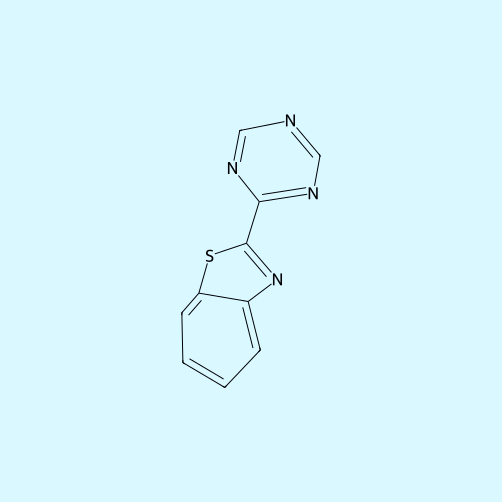 c1ccc2sc(-c3ncncn3)nc2c1